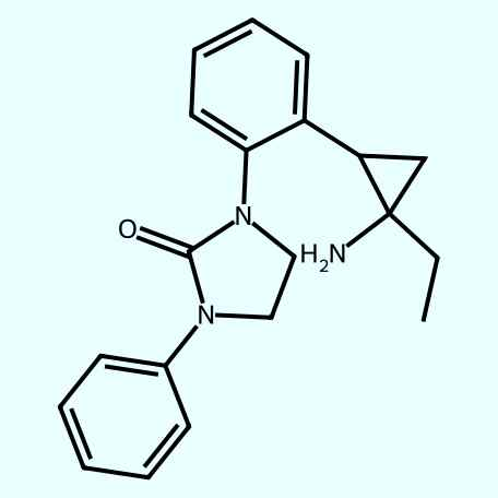 CCC1(N)CC1c1ccccc1N1CCN(c2ccccc2)C1=O